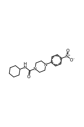 O=C(NC1CCCCC1)N1CCN(c2ccc([N+](=O)[O-])cc2)CC1